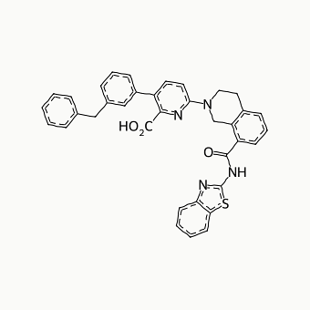 O=C(Nc1nc2ccccc2s1)c1cccc2c1CN(c1ccc(-c3cccc(Cc4ccccc4)c3)c(C(=O)O)n1)CC2